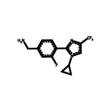 NCc1ccc(-c2nc(C(F)(F)F)cn2C2CC2)c(F)c1